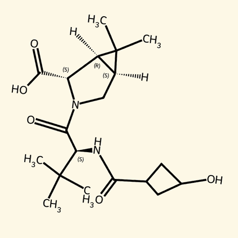 CC(C)(C)[C@H](NC(=O)C1CC(O)C1)C(=O)N1C[C@H]2[C@@H]([C@H]1C(=O)O)C2(C)C